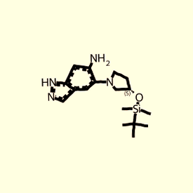 CC(C)(C)[Si](C)(C)O[C@H]1CCN(c2cc3cn[nH]c3cc2N)C1